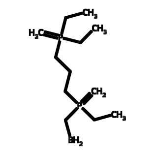 BCP(=C)(CC)CCCP(=C)(CC)CC